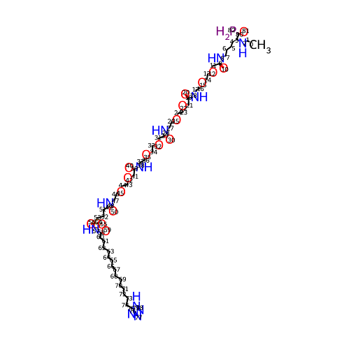 CCN[C@@H](CCCCNC(=O)COCCOCCNC(=O)COCCOCCNC(=O)COCCOCCNC(=O)COCCOCCNC(=O)CCCS(=O)(=O)NC(=O)CCCCCCCCCCCCCCCc1nnn[nH]1)C(=O)P